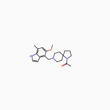 COc1cc(C)c2[nH]ccc2c1CN1CCC2(CCCN2C(C)=O)CC1